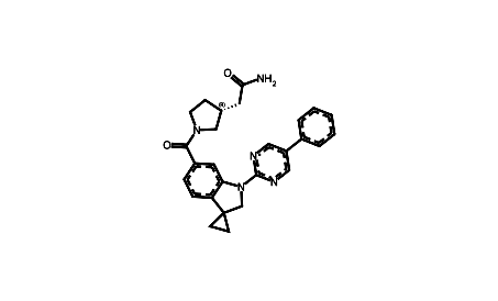 NC(=O)C[C@H]1CCN(C(=O)c2ccc3c(c2)N(c2ncc(-c4ccccc4)cn2)CC32CC2)C1